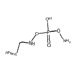 CCCCCCNOP(=O)(O)ON